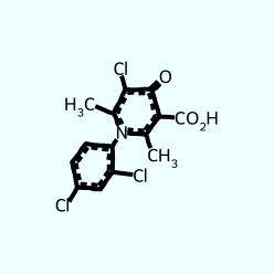 Cc1c(Cl)c(=O)c(C(=O)O)c(C)n1-c1ccc(Cl)cc1Cl